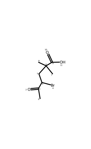 CC(=O)C(Br)CC(C)(C)C(=O)O